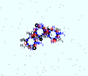 CCCCCCN1CCNC(=O)[C@H]([C@H](C)O)NC(=O)[C@H](CN)NC(=O)[C@H]([C@H](C)CC)NC(=O)[C@H](CC(C)CO[C@@H](C)[C@@H]2NC(=O)[C@H](CN)NC(=O)[C@H](C3CCCCC3)NC(=O)[C@H](CC(C)CO[C@@H](C)[C@@H]3NC(=O)[C@H](CN)NC(=O)[C@H](C4CCCCC4)NC(=O)[C@H](CC(C)C)N(C)C(=O)[C@H](CC(C)C)N(CCCC)CCNC3=O)N(C)C(=O)[C@H](C)N(CC3CCCC3)CCNC2=O)N(C)C(=O)[C@@H]1C